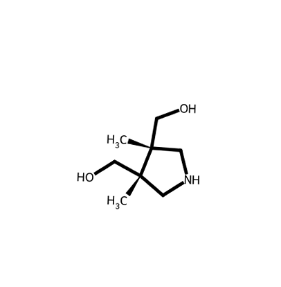 C[C@]1(CO)CNC[C@@]1(C)CO